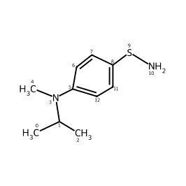 CC(C)N(C)c1ccc(SN)cc1